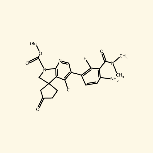 CN(C)C(=O)c1c(N)ccc(-c2cnc3c(c2Cl)C2(CCC(=O)C2)CN3C(=O)OC(C)(C)C)c1F